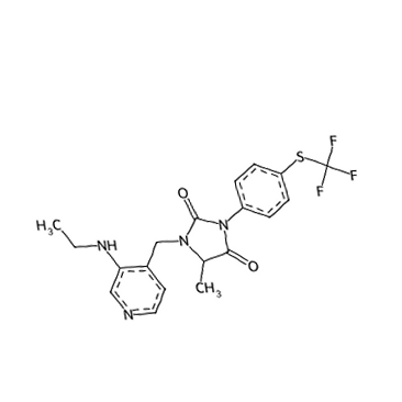 CCNc1cnccc1CN1C(=O)N(c2ccc(SC(F)(F)F)cc2)C(=O)C1C